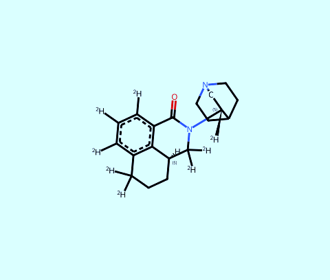 [2H]c1c([2H])c2c3c(c1[2H])C([2H])([2H])CC[C@@H]3C([2H])([2H])N([C@]1([2H])CN3CCC1CC3)C2=O